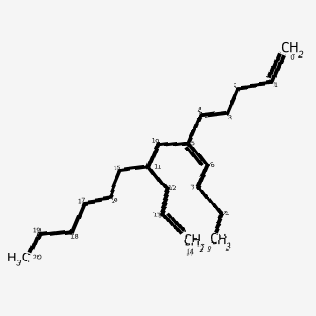 C=CCCCC(=CCCC)CC(CC=C)CCCCCC